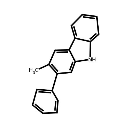 Cc1cc2c(cc1-c1ccccc1)[nH]c1ccccc12